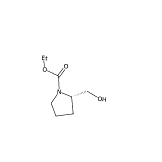 CCOC(=O)N1CCC[C@H]1CO